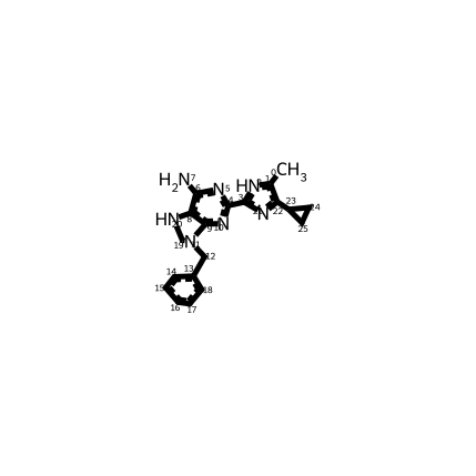 Cc1[nH]c(-c2nc(N)c3c(n2)N(Cc2ccccc2)CN3)nc1C1CC1